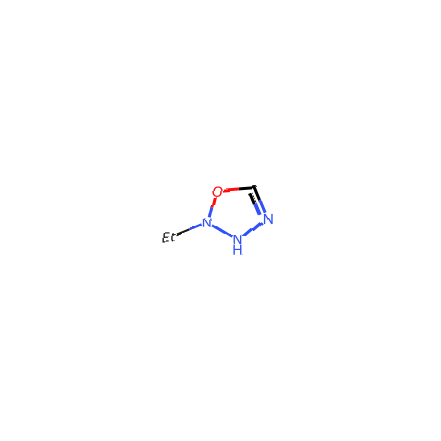 [CH2]CN1NN=CO1